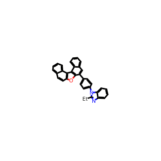 CCc1nc2ccccc2n1-c1ccc(-c2cc3ccccc3c3c2oc2ccc4ccccc4c23)cc1